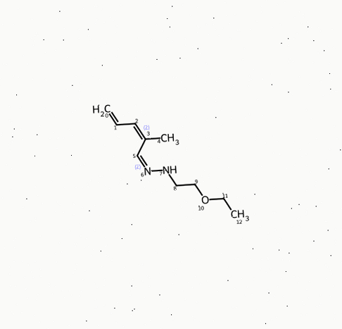 C=C/C=C(C)\C=N/NCCOCC